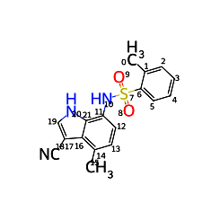 Cc1ccccc1S(=O)(=O)Nc1ccc(C)c2c(C#N)c[nH]c12